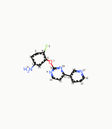 Nc1ccc(F)c(Oc2nccc(-c3cccnc3)n2)c1